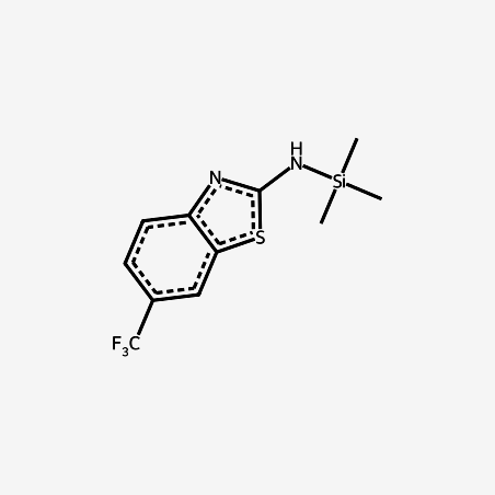 C[Si](C)(C)Nc1nc2ccc(C(F)(F)F)cc2s1